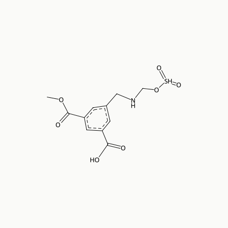 COC(=O)c1cc(CNCO[SH](=O)=O)cc(C(=O)O)c1